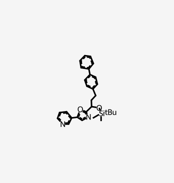 CC(C)(C)[Si](C)(C)OC(CCc1ccc(-c2ccccc2)cc1)c1ncc(-c2cccnc2)o1